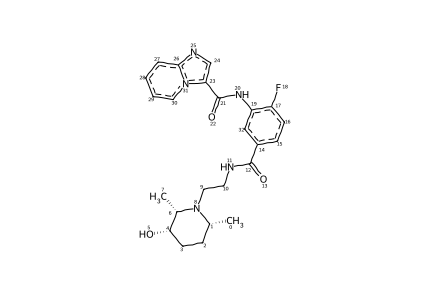 C[C@@H]1CC[C@H](O)[C@H](C)N1CCNC(=O)c1ccc(F)c(NC(=O)c2cnc3ccccn23)c1